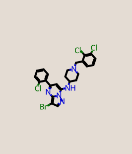 Clc1ccccc1-c1cc(NC2CCN(Cc3cccc(Cl)c3Cl)CC2)n2ncc(Br)c2n1